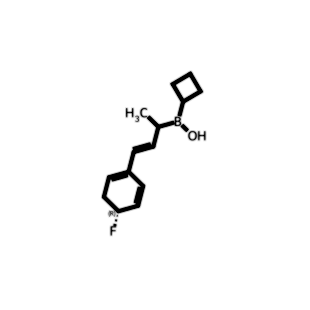 CC(C=CC1=CC[C@@H](F)C=C1)B(O)C1CCC1